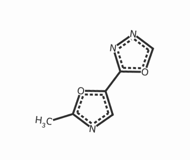 Cc1ncc(-c2nnco2)o1